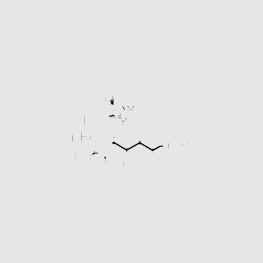 CCCCCCCCCCCCCC[P+](CCCC)(CCCC)CCCC.CS(=O)(=O)[O-]